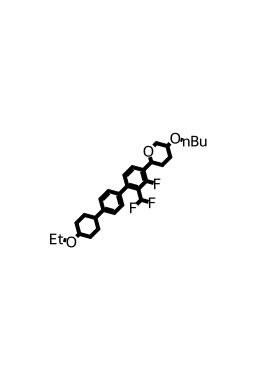 CCCCOC1CCC(c2ccc(-c3ccc(C4CCC(OCC)CC4)cc3)c(C(F)F)c2F)OC1